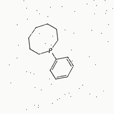 c1ccc(P2CCCCCCC2)cc1